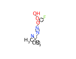 CC(C)C(C#N)(CCCN1CCN(CCOc2ccc(F)cc2OCCO)CC1)c1ccccc1